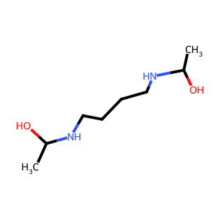 CC(O)NCCCCNC(C)O